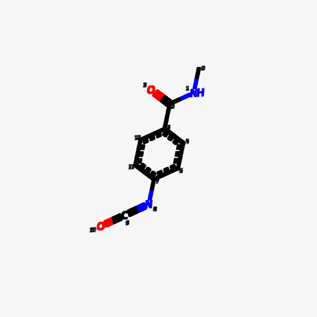 CNC(=O)c1ccc(N=C=O)cc1